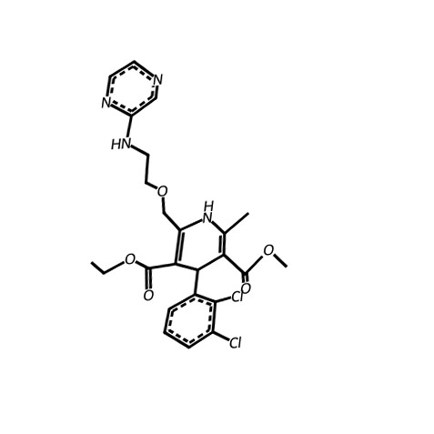 CCOC(=O)C1=C(COCCNc2cnccn2)NC(C)=C(C(=O)OC)C1c1cccc(Cl)c1Cl